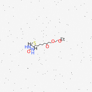 CCOCCOCCC(=O)CCCC[C@@H]1SC[C@@H]2NC(=O)N[C@@H]21